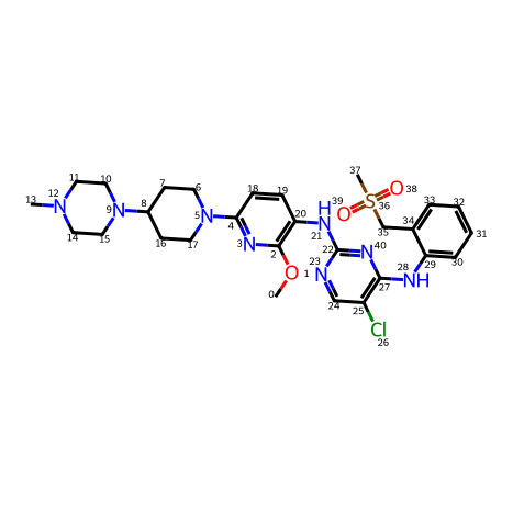 COc1nc(N2CCC(N3CCN(C)CC3)CC2)ccc1Nc1ncc(Cl)c(Nc2ccccc2CS(C)(=O)=O)n1